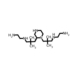 CC(C)(CNCCN)CC1CNCCN1CC(C)(C)CNCCN